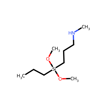 CCC[Si](CCCNC)(OC)OC